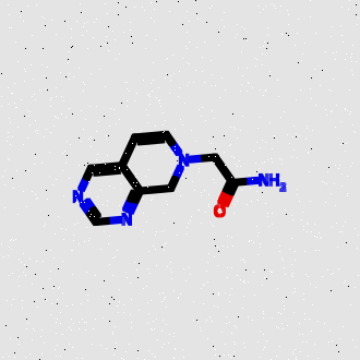 NC(=O)CN1C=Cc2cncnc2C1